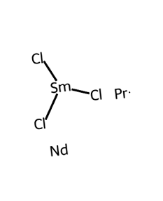 [Cl][Sm]([Cl])[Cl].[Nd].[Pr]